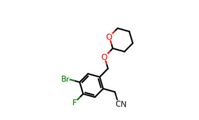 N#CCc1cc(F)c(Br)cc1COC1CCCCO1